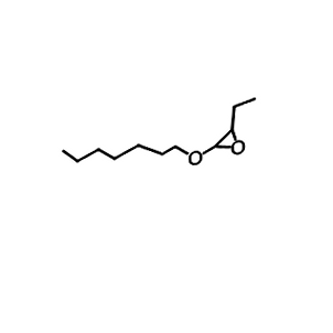 CCCCCCCOC1OC1CC